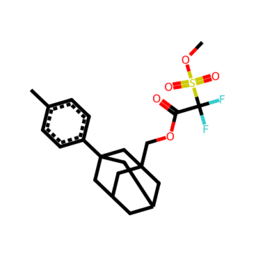 COS(=O)(=O)C(F)(F)C(=O)OCC12CC3CC(C1)CC(c1ccc(C)cc1)(C3)C2